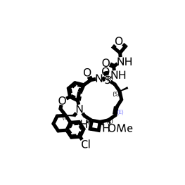 CO[C@H]1/C=C/C[C@H](C)C[S@@](=O)(NC(=O)NC2COC2)=NC(=O)c2ccc3c(c2)N(C[C@@H]2CC[C@H]21)C[C@@]1(CCCc2cc(Cl)ccc21)CO3